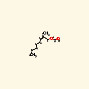 CCCCCC=C(C)COC=O